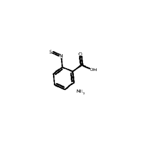 N.O=C(O)c1ccccc1N=S